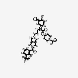 CC(=O)N1CCC(OC(=O)N(CCCN2CC3CN(C(=O)c4cccc(C(F)(F)F)c4F)CC3C2)c2ccc(C)c(Cl)c2)CC1